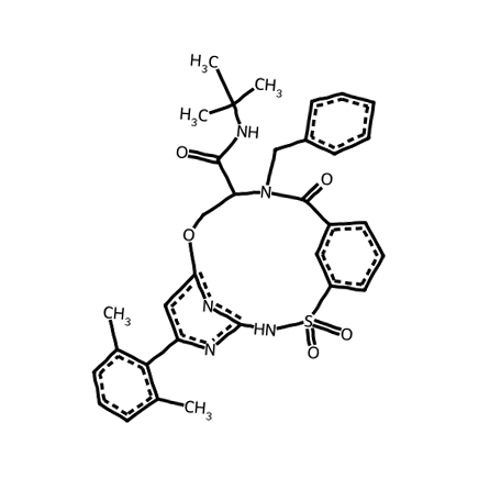 Cc1cccc(C)c1-c1cc2nc(n1)NS(=O)(=O)c1cccc(c1)C(=O)N(Cc1ccccc1)C(C(=O)NC(C)(C)C)CO2